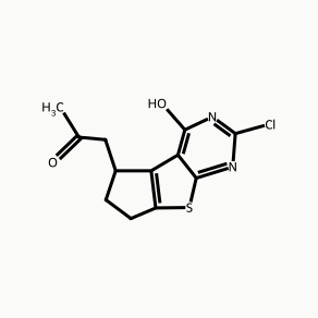 CC(=O)CC1CCc2sc3nc(Cl)nc(O)c3c21